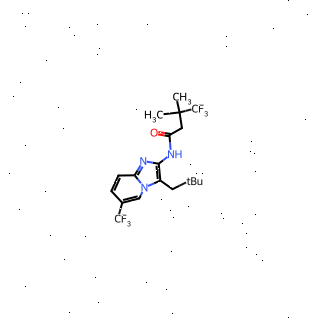 CC(C)(C)Cc1c(NC(=O)CC(C)(C)C(F)(F)F)nc2ccc(C(F)(F)F)cn12